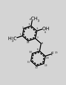 Cc1cc(C)c(O)c(Cc2ccccc2F)c1